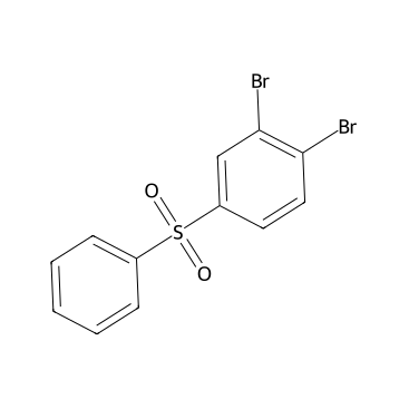 O=S(=O)(c1ccccc1)c1ccc(Br)c(Br)c1